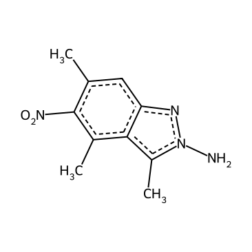 Cc1cc2nn(N)c(C)c2c(C)c1[N+](=O)[O-]